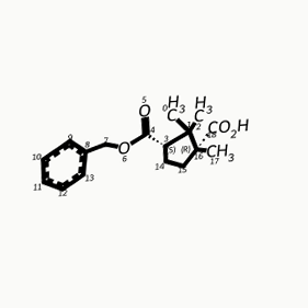 CC1(C)[C@@H](C(=O)OCc2ccccc2)CC[C@@]1(C)C(=O)O